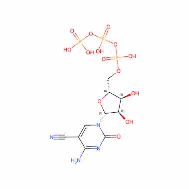 N#Cc1cn([C@@H]2O[C@H](COP(=O)(O)OP(=O)(O)OP(=O)(O)O)[C@@H](O)[C@H]2O)c(=O)nc1N